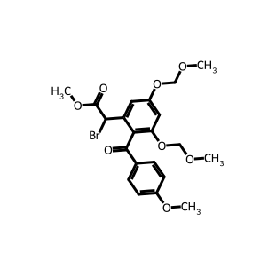 COCOc1cc(OCOC)c(C(=O)c2ccc(OC)cc2)c(C(Br)C(=O)OC)c1